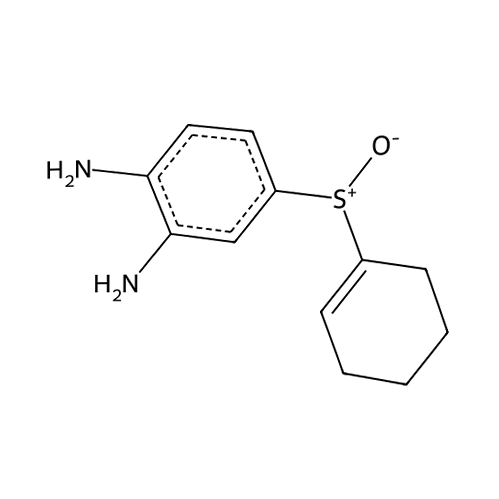 Nc1ccc([S+]([O-])C2=CCCCC2)cc1N